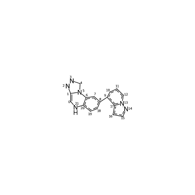 C1=C2N=NCN2c2cc(-c3cccn4nccc34)ccc2N1